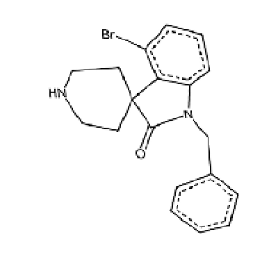 O=C1N(Cc2ccccc2)c2cccc(Br)c2C12CCNCC2